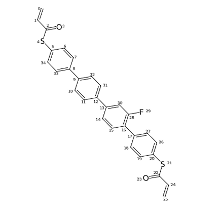 C=CC(=O)Sc1ccc(-c2ccc(-c3ccc(-c4ccc(SC(=O)C=C)cc4)c(F)c3)cc2)cc1